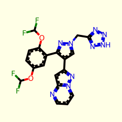 FC(F)Oc1ccc(OC(F)F)c(-c2nn(Cc3nn[nH]n3)cc2-c2cc3ncccn3n2)c1